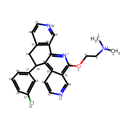 CN(C)CCOc1nc2c(c3ccncc13)C(c1cccc(Cl)c1)Cc1ccncc1-2